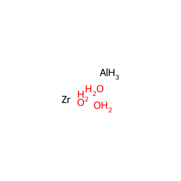 O.O.O.[AlH3].[Zr]